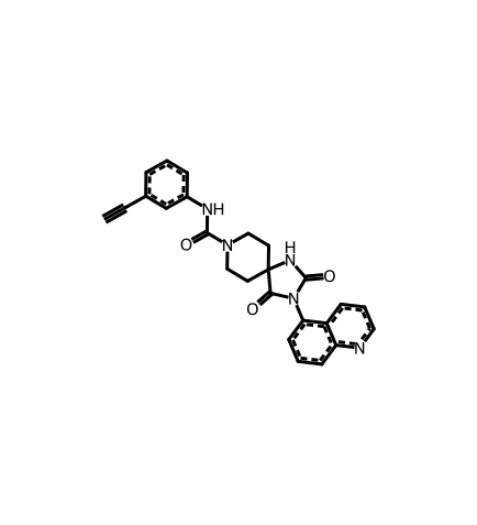 C#Cc1cccc(NC(=O)N2CCC3(CC2)NC(=O)N(c2cccc4ncccc24)C3=O)c1